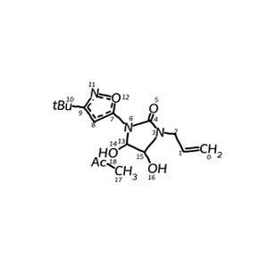 C=CCN1C(=O)N(c2cc(C(C)(C)C)no2)C(O)C1O.CC(C)=O